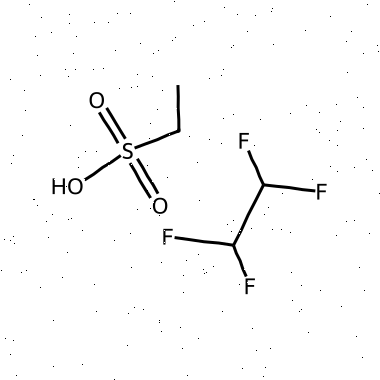 CCS(=O)(=O)O.FC(F)C(F)F